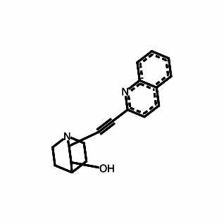 OC1C2CCN(CC2)C1C#Cc1ccc2ccccc2n1